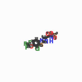 CS(=O)(=O)NC(=O)c1cn2c(n1)sc1c(Cl)c(OC(F)(F)F)ccc12